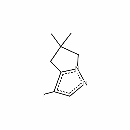 CC1(C)Cc2c(I)cnn2C1